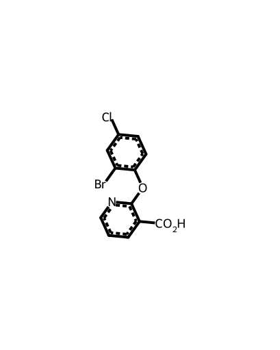 O=C(O)c1cccnc1Oc1ccc(Cl)cc1Br